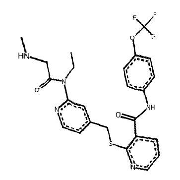 CCN(C(=O)CNC)c1cc(CSc2ncccc2C(=O)Nc2ccc(OC(F)(F)F)cc2)ccn1